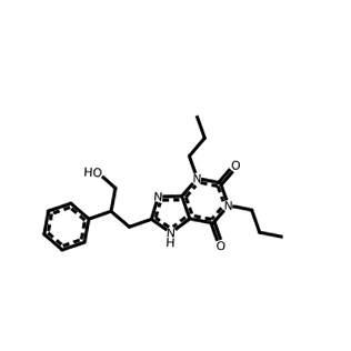 CCCn1c(=O)c2[nH]c(CC(CO)c3ccccc3)nc2n(CCC)c1=O